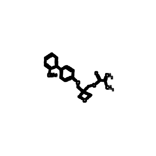 C=C(C)C(=O)OCC1(COc2ccc(-c3ccccc3OC)cc2)COC1